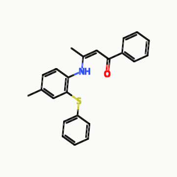 C/C(=C/C(=O)c1ccccc1)Nc1ccc(C)cc1Sc1ccccc1